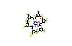 FC(F)(F)c1cc(-c2sc(-c3cc(C(F)(F)F)cc(C(F)(F)F)c3)c3nc4c(nc23)c2nc3c(-c5cc(C(F)(F)F)cc(C(F)(F)F)c5)sc(-c5cc(C(F)(F)F)cc(C(F)(F)F)c5)c3nc2c2nc3c(-c5cc(C(F)(F)F)cc(C(F)(F)F)c5)sc(-c5cc(C(F)(F)F)cc(C(F)(F)F)c5)c3nc42)cc(C(F)(F)F)c1